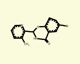 Cc1cccnc1C1NC(=O)c2cc(Br)ccc2O1